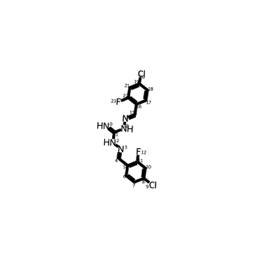 N=C(NN=Cc1ccc(Cl)cc1F)NN=Cc1ccc(Cl)cc1F